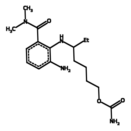 CCC(CCCCOC(N)=O)Nc1c(N)cccc1C(=O)N(C)C